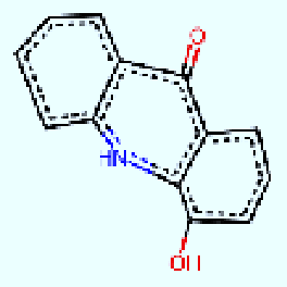 O=c1c2ccccc2[nH]c2c(O)cccc12